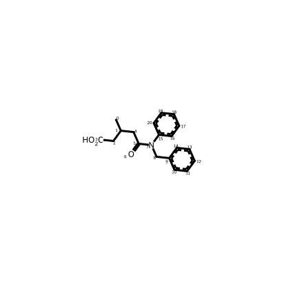 CC(CC(=O)O)CC(=O)N(Cc1ccccc1)c1ccccc1